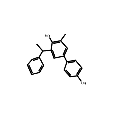 Cc1cc(-c2ccc(O)cc2)cc(C(C)c2ccccc2)c1O